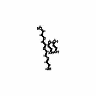 OCCO.OCCO.OCCOCCOCCOCCO